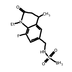 BS(=O)(=O)NCc1cc(F)c2c(c1)C(C)CC(=O)N2CC